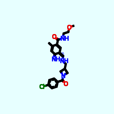 COCCNC(=O)C1=C/C(=C/NCC2CN(C(=O)c3ccc(Cl)cc3)C2)C(=N)C=C1C